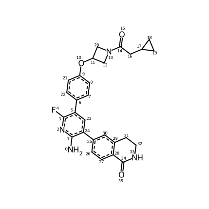 Nc1nc(F)c(-c2ccc(OC3CN(C(=O)CC4CC4)C3)cc2)cc1-c1ccc2c(c1)CCNC2=O